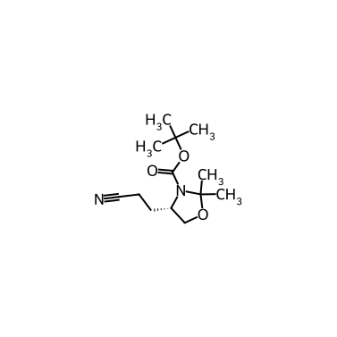 CC(C)(C)OC(=O)N1[C@@H](CCC#N)COC1(C)C